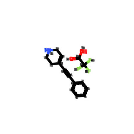 C(#Cc1ccccc1)C1=CCNCC1.O=C(O)C(F)(F)F